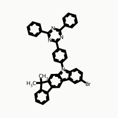 CC1(C)c2ccccc2-c2cc3c4cc(Br)ccc4n(-c4ccc(-c5nc(-c6ccccc6)nc(-c6ccccc6)n5)cc4)c3cc21